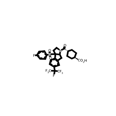 O=C(O)[C@H]1CC[C@H](C(=O)N2CCC3(S(=O)(=O)c4ccc(F)cc4)c4ccc(C(F)(C(F)(F)F)C(F)(F)F)cc4CC23)CC1